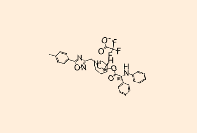 Cc1ccc(-c2nc(C[N+]34CCC(CC3)[C@@H](OC(=O)[C@H](Nc3ccccc3)c3ccccc3)C4)no2)cc1.O=C([O-])C(F)(F)F